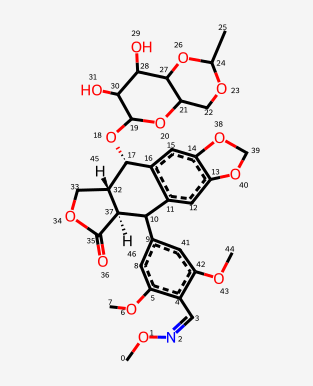 CO/N=C\c1c(OC)cc(C2c3cc4c(cc3[C@@H](OC3OC5COC(C)OC5C(O)C3O)[C@H]3COC(=O)[C@H]23)OCO4)cc1OC